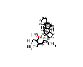 CCC(C=CC(C)[C@H]1CC[C@H]2[C@@H]3CCC4CCCC[C@]4(C)[C@H]3CC[C@]12C)C(C)CO